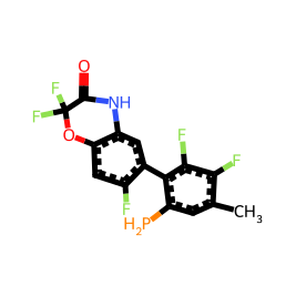 Cc1cc(P)c(-c2cc3c(cc2F)OC(F)(F)C(=O)N3)c(F)c1F